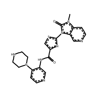 Cn1c(=O)n(-c2nc(C(=O)Nc3cnccc3N3CCNCC3)cs2)c2cnccc21